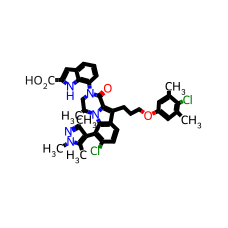 Cc1cc(OCCCc2c3n(c4c(-c5c(C)nn(C)c5C)c(Cl)ccc24)C(C)CN(c2cccc4cc(C(=O)O)[nH]c24)C3=O)cc(C)c1Cl